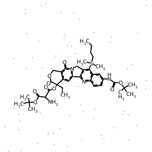 CCCC[Si](C)(C)c1c2c(nc3ccc(NC(=O)OC(C)(C)C)cc13)-c1cc3c(c(=O)n1C2)COC(=O)C3(CC)OC(=O)C(N)C(=O)OC(C)(C)C